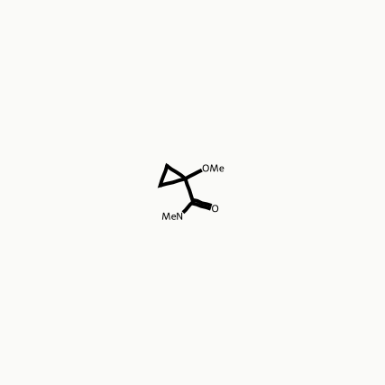 CNC(=O)C1(OC)CC1